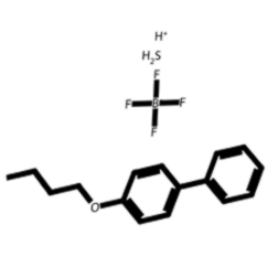 CCCCOc1ccc(-c2ccccc2)cc1.F[B-](F)(F)F.S.[H+]